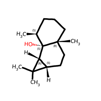 C[C@H]1CCC[C@]2(C)CC[C@H]3[C@H](C3(C)C)[C@@]12O